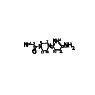 N#CCC(=O)N1CCN(c2ccc(N)cn2)CC1